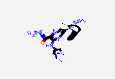 C[C@@H]1[C@H](N)CCCN1c1cnc(C(N)=O)c(Nc2cnn(C)c2)n1